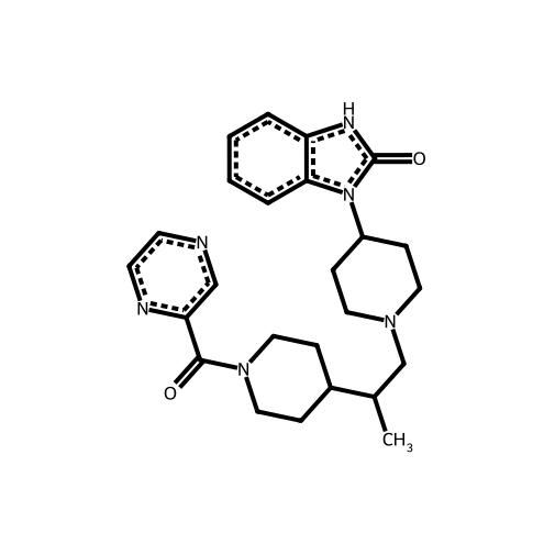 CC(CN1CCC(n2c(=O)[nH]c3ccccc32)CC1)C1CCN(C(=O)c2cnccn2)CC1